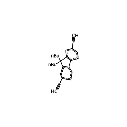 C#Cc1ccc2c(c1)C(CCCC)(CCCC)c1cc(C#C)ccc1-2